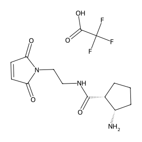 N[C@H]1CCC[C@H]1C(=O)NCCN1C(=O)C=CC1=O.O=C(O)C(F)(F)F